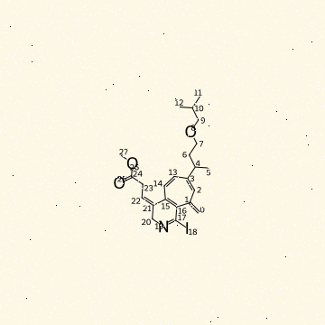 C=C1C=C(C(C)CCOCC(C)C)C=CC2=C1C(I)=NC/C2=C/CC(=O)OC